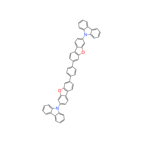 c1ccc2c(c1)c1ccccc1n2-c1ccc2c(c1)oc1cc(-c3ccc(-c4ccc5c(c4)oc4cc(-n6c7ccccc7c7ccccc76)ccc45)cc3)ccc12